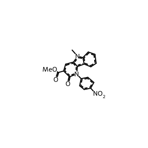 COC(=O)c1cc2c(c3ccccc3n2C)n(-c2ccc([N+](=O)[O-])cc2)c1=O